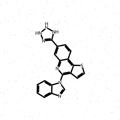 c1ccc2c(c1)ncn2-c1nc2cc(C3=NNNN3)ccc2c2sccc12